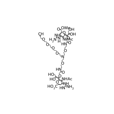 C#CCOCCOCCOCCOCCN(CCOCCNC(=O)CO[C@@H]([C@@H]1OC(C(=O)O)=C[C@H](NC(=N)N)[C@H]1NC(C)=O)[C@H](O)CO)CCOCCNC(=O)CO[C@@H]([C@@H]1OC(C(=O)OC)=C[C@H](NC(=N)N)[C@H]1NC(C)=O)[C@H](O)CO